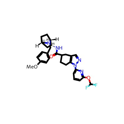 COc1ccc(CN2[C@H]3CC[C@@H]2[C@H](NC(=O)C2CCc4c(cnn4-c4cccc(OC(F)F)n4)C2)C3)cc1